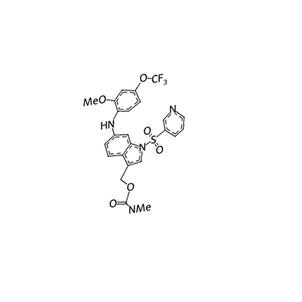 CNC(=O)OCc1cn(S(=O)(=O)c2cccnc2)c2cc(Nc3ccc(OC(F)(F)F)cc3OC)ccc12